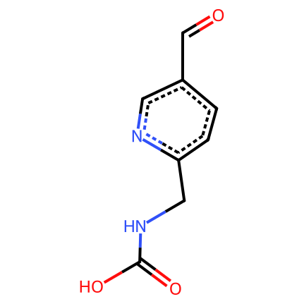 O=Cc1ccc(CNC(=O)O)nc1